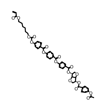 C=CC(=O)OCCCCCCOC(=O)Oc1ccc(C(=O)Oc2ccc(C(=O)Oc3ccc(C(=O)O[C@H]4COC5C4OC[C@@H]5OC(=O)c4ccc(OC(C)=O)cc4)cc3)cc2)cc1